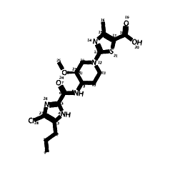 CCCc1[nH]c(C(=O)NC2CCN(c3nc(C)c(C(=O)O)s3)C[C@@H]2OC)nc1Cl